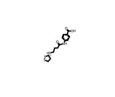 O=C(CCCN[C@@H]1CCSS1)Nc1ccc(C(=O)O)cc1